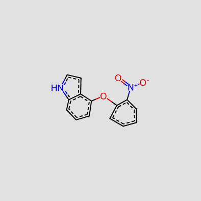 O=[N+]([O-])c1ccccc1Oc1cccc2[nH]ccc12